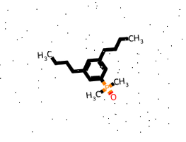 CCCCc1cc(CCCC)cc(P(C)(C)=O)c1